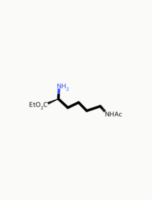 CCOC(=O)[C@@H](N)CCCCNC(C)=O